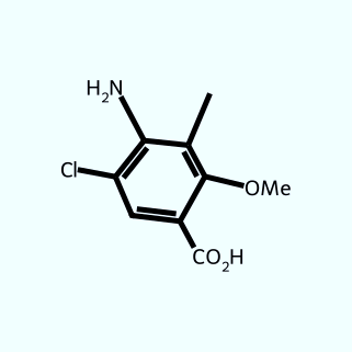 COc1c(C(=O)O)cc(Cl)c(N)c1C